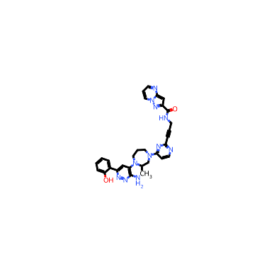 CC1CN(c2ccnc(C#CCNC(=O)c3cc4ncccn4n3)n2)CCCN1c1cc(-c2ccccc2O)nnc1N